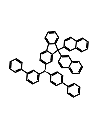 c1ccc(-c2ccc(N(c3cccc(-c4ccccc4)c3)c3ccc4c(c3)C(c3ccc5ccccc5c3)(c3ccc5ccccc5c3)c3ccccc3-4)cc2)cc1